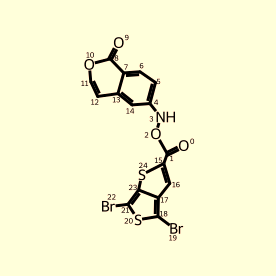 O=C(ONc1ccc2c(=O)occc2c1)c1cc2c(Br)sc(Br)c2s1